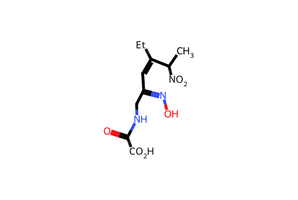 CCC(=CC(CNC(=O)C(=O)O)=NO)C(C)[N+](=O)[O-]